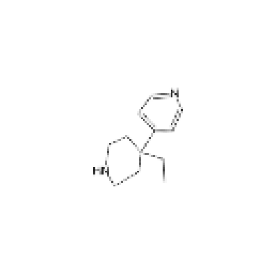 CCC1(c2ccncc2)CCNCC1